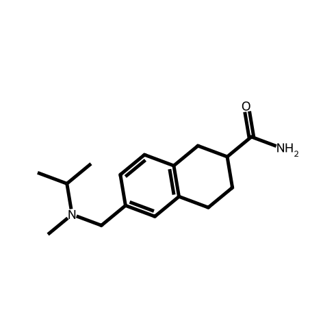 CC(C)N(C)Cc1ccc2c(c1)CCC(C(N)=O)C2